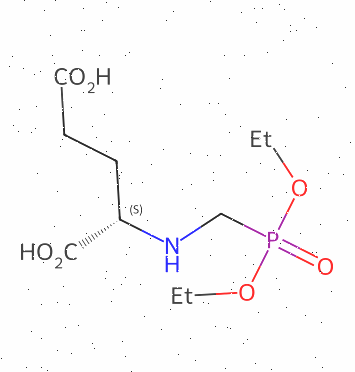 CCOP(=O)(CN[C@@H](CCC(=O)O)C(=O)O)OCC